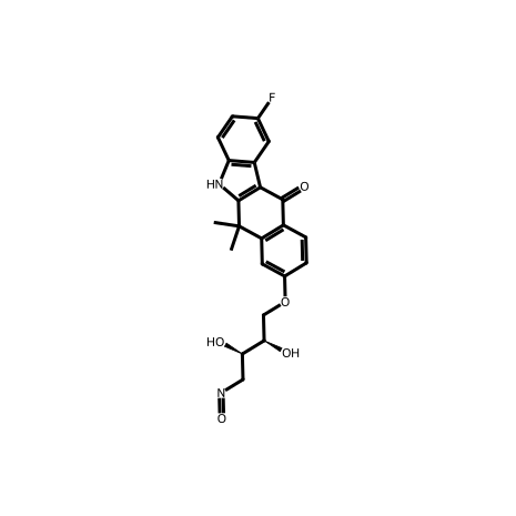 CC1(C)c2cc(OC[C@@H](O)[C@H](O)CN=O)ccc2C(=O)c2c1[nH]c1ccc(F)cc21